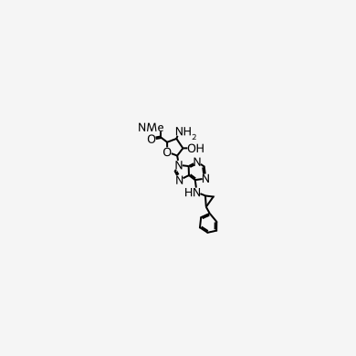 CNC(=O)C1OC(n2cnc3c(NC4CC4c4ccccc4)ncnc32)C(O)C1N